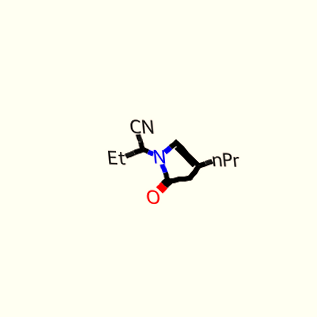 CCCC1=CN(C(C#N)CC)C(=O)C1